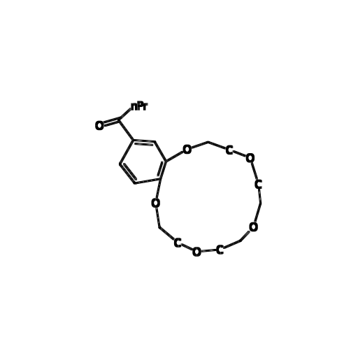 CCCC(=O)c1ccc2c(c1)OCCOCCOCCOCCO2